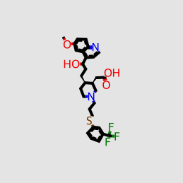 COc1ccc2nccc(C(O)CC[C@@H]3CCN(CCCSc4cccc(C(F)(F)F)c4)C[C@@H]3CC(=O)O)c2c1